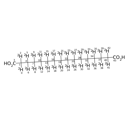 [2H]C([2H])(C(=O)O)C([2H])([2H])C([2H])([2H])C([2H])([2H])C([2H])([2H])C([2H])([2H])C([2H])([2H])C([2H])([2H])C([2H])([2H])C([2H])([2H])C([2H])([2H])C([2H])([2H])C([2H])([2H])C([2H])([2H])C(=O)O